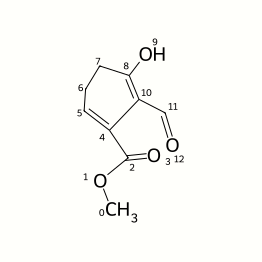 COC(=O)C1=CCCC(O)=C1C=O